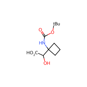 CC(C)(C)OC(=O)NC1(C(O)C(=O)O)CCC1